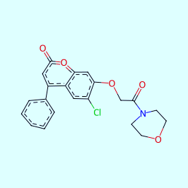 O=C(COc1cc2oc(=O)cc(-c3ccccc3)c2cc1Cl)N1CCOCC1